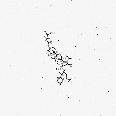 CC(C)C1=C2[C@H]3CC[C@@H]4[C@@]5(C)CC[C@H](OC(=O)CC(C)(C)C(=O)O)C(C)(C)[C@@H]5CC[C@@]4(C)[C@]3(C)CC[C@@]2([C@@H](O)CN(CCN(C)C)[C@H](C)c2ccncn2)CC1=O